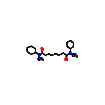 CN(C(=O)CCCCCCC(=O)N(C)C1CCCCC1)C1CCCCC1